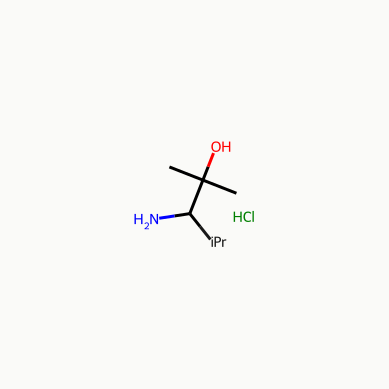 CC(C)C(N)C(C)(C)O.Cl